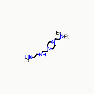 CCNCCNCCN1CCN(CCN(CC)CC)CC1